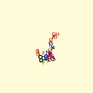 COCOc1cc(-c2ncc3c(N4CC5CCC(C4)N5C(=O)OC(C)(C)C)nc(OCC4(CN5CCC(OCCC(=O)O)CC5)CC4)nc3c2F)c2c(C#C[Si](C(C)C)(C(C)C)C(C)C)c(F)ccc2c1